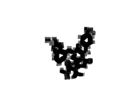 CNC(=O)N(C(C)C)N1CC(=O)N2[C@@H](Cc3ccc(N)cc3)C(=O)N(Cc3cccc4sc(N)nc34)C[C@@H]21